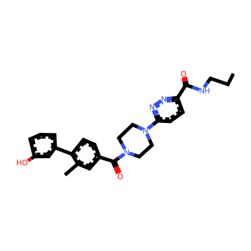 CCCNC(=O)c1ccc(N2CCN(C(=O)c3ccc(-c4cccc(O)c4)c(C)c3)CC2)nn1